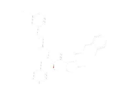 COc1cccc(/C=C/C(=O)N[C@@H](Cc2ccccc2)[C@H](O)C(=O)N2CSC(C)[C@H]2C(=O)NCc2ccccc2C)c1